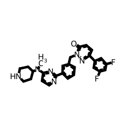 CN(c1ccnc(-c2cccc(Cn3nc(-c4cc(F)cc(F)c4)ccc3=O)c2)n1)C1CCNCC1